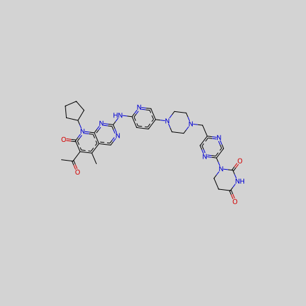 CC(=O)c1c(C)c2cnc(Nc3ccc(N4CCN(Cc5cnc(N6CCC(=O)NC6=O)cn5)CC4)cn3)nc2n(C2CCCC2)c1=O